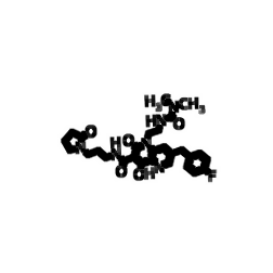 CN(C)C(=O)NCCn1c(=O)c(C(=O)NCCCN2CCCC2=O)c(O)c2ncc(Cc3ccc(F)cc3)cc21